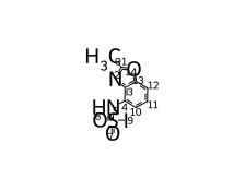 Cc1nc2c(NS(=O)(=O)I)cccc2o1